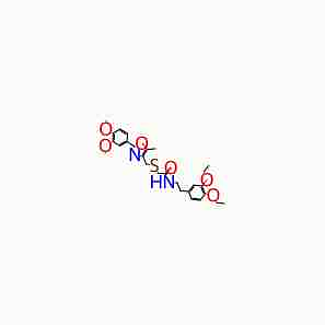 CCOc1ccc(CCNC(=O)CSCc2nc(-c3ccc(OC)c(OC)c3)oc2C)cc1OCC